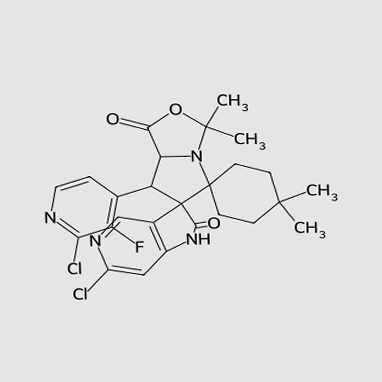 CC1(C)CCC2(CC1)N1C(C(=O)OC1(C)C)C(c1ccnc(Cl)c1F)C21C(=O)Nc2cc(Cl)ncc21